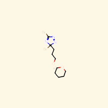 BrC1=NC(Br)(CCCO[C@H]2CCCCO2)N=N1